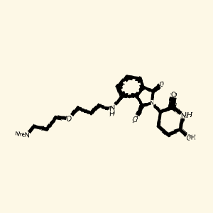 CNCCCOCCCNc1cccc2c1C(=O)N(C1CCC(O)NC1=O)C2=O